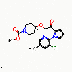 CC(C)OC(=O)N1CCC(OCC(=O)c2cccn2-c2ncc(C(F)(F)F)cc2Cl)CC1